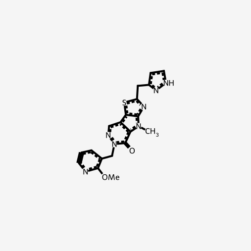 COc1nc#ccc1Cn1ncc2c3sc(Cc4cc[nH]n4)nc3n(C)c2c1=O